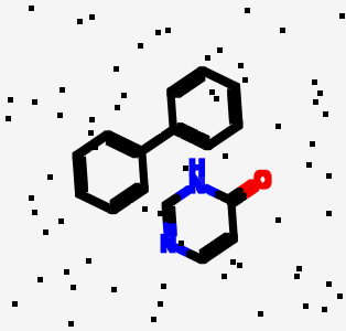 O=c1ccnc[nH]1.c1ccc(-c2ccccc2)cc1